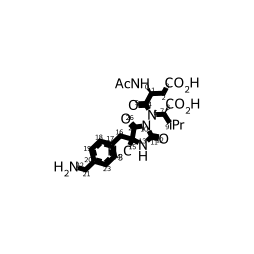 CC(=O)N[C@@H](CC(=O)O)C(=O)N([C@H](C(=O)O)C(C)C)N1C(=O)NC(C)(Cc2ccc(CN)cc2)C1=O